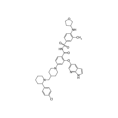 Cc1cc(S(=O)(=O)NC(=O)c2ccc(N3CCC(CN4CCCCC4c4ccc(Cl)cc4)CC3)cc2Oc2cnc3[nH]ccc3c2)ccc1NC1CCOC1